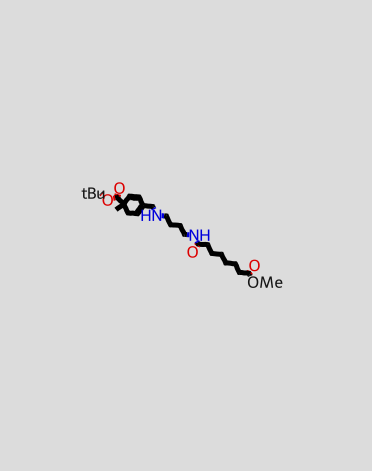 COC(=O)CCCCCCC(=O)NCCCCNCC1=CCC(C)(C(=O)OC(C)(C)C)C=C1